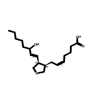 CCCCCC(O)/C=C/[C@@H]1CSC[C@@H]1C/C=C\CCCC(=O)O